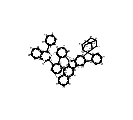 c1ccc(-c2nc(-c3ccccc3-c3ccccc3-n3c4cc5c(cc4c4cc6ccccc6cc43)-c3ccccc3C53C4CC5CC(C4)CC3C5)nc3ccccc23)cc1